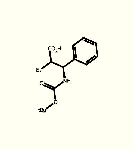 CCC(C(=O)O)[C@H](NC(=O)OC(C)(C)C)c1ccccc1